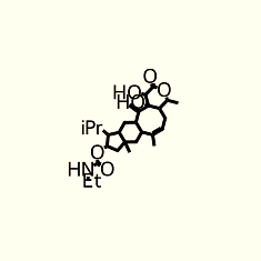 C=C1C2CC3C(C(C)C)C(OC(=O)NCC)CC3(C)CC2/C(C)=C\CC2C(C)OC(=O)C(O)C12O